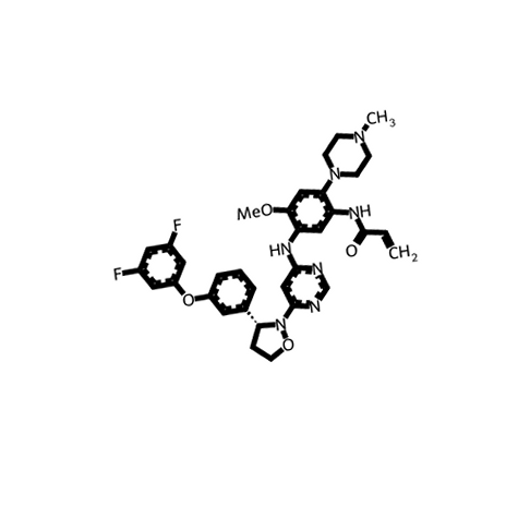 C=CC(=O)Nc1cc(Nc2cc(N3OCC[C@@H]3c3cccc(Oc4cc(F)cc(F)c4)c3)ncn2)c(OC)cc1N1CCN(C)CC1